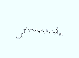 CCCC/C=C\CCC/C=C/CCCCCOC(C)=O